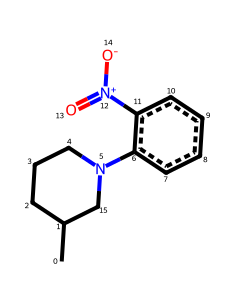 CC1CCCN(c2ccccc2[N+](=O)[O-])C1